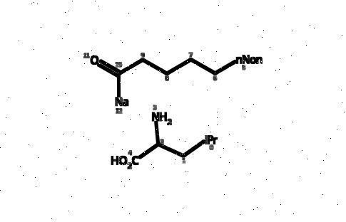 CC(C)CC(N)C(=O)O.CCCCCCCCCCCCC[C](=O)[Na]